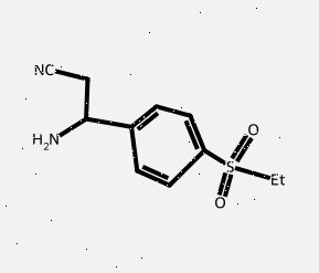 CCS(=O)(=O)c1ccc(C(N)CC#N)cc1